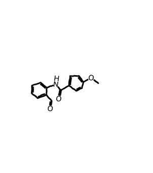 COc1ccc(C(=O)Nc2ccccc2C=O)cc1